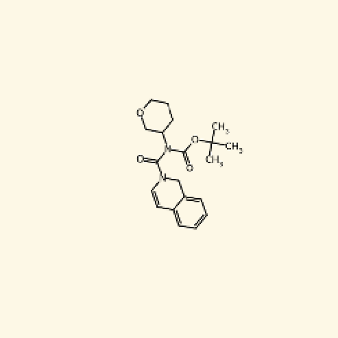 CC(C)(C)OC(=O)N(C(=O)N1C=Cc2ccccc2C1)C1CCCOC1